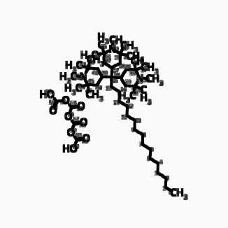 CCCCCCCCCCCCCCCCC(C1CC(C)(C)N(C)C(C)(C)C1)(C1CC(C)(C)N(C)C(C)(C)C1)C1CC(C)(C)N(C)C(C)(C)C1.O=C(O)OC(=O)OC(=O)OC(=O)O